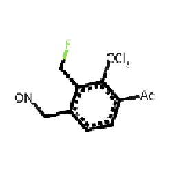 CC(=O)c1ccc(CN=O)c(CF)c1C(Cl)(Cl)Cl